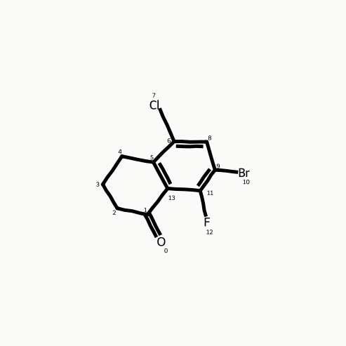 O=C1CCCc2c(Cl)cc(Br)c(F)c21